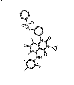 Cc1ccc(Nc2c3c(=O)n(C4CC4)c(=O)n(-c4cccc(NS(=O)(=O)c5ccccc5)c4)c3c(C)c(=O)n2C)c(F)c1